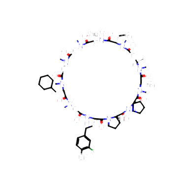 CC[C@H](C)[C@@H]1NC(=O)[C@H](CC(C)C)N(C)C(=O)C[C@@H](C)N(C)C(=O)[C@H](C(C)C)N(C)C(=O)C2(CCCC2)NC(=O)[C@@H]2CCCN2C(=O)[C@H](CCc2ccc(C(F)(F)F)c(F)c2)NC(=O)CN(C)C(=O)[C@H](CC2CCCCC2)N(C)C(=O)CN(C)C(=O)CN(C)C1=O